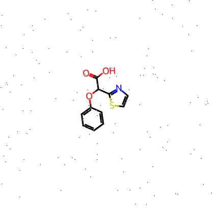 O=C(O)C(Oc1ccccc1)c1nccs1